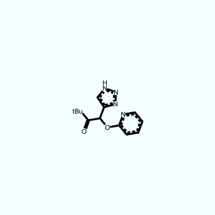 CC(C)(C)C(=O)C(Oc1ccccn1)c1c[nH]nn1